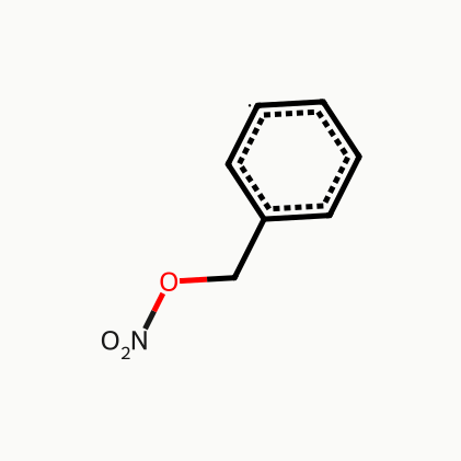 O=[N+]([O-])OCc1c[c]ccc1